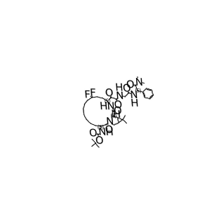 CN(C)C(=O)[C@@H](NC(=O)CNC(=O)C(=O)[C@@H]1CCC(F)(F)CCCCCCC[C@H](NC(=O)OC(C)(C)C)C(=O)N2CC3C([C@H]2C(=O)N1)C3(C)C)c1ccccc1